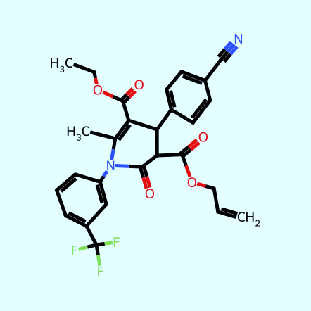 C=CCOC(=O)C1C(=O)N(c2cccc(C(F)(F)F)c2)C(C)=C(C(=O)OCC)C1c1ccc(C#N)cc1